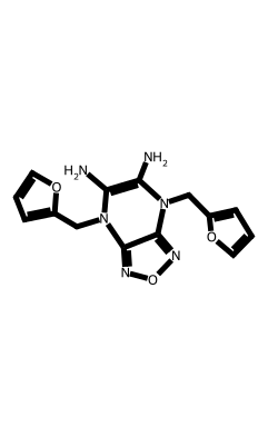 NC1=C(N)N(Cc2ccco2)c2nonc2N1Cc1ccco1